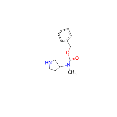 CN(C(=O)OCc1ccccc1)C1CCNC1